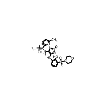 Cc1ccc([C@H](Nc2n[s+]([O-])nc2Nc2cccc(S(=O)(=O)N3CCOCC3)c2O)C(C)(C)C)o1